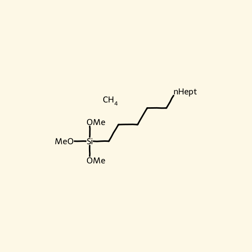 C.CCCCCCCCCCCC[Si](OC)(OC)OC